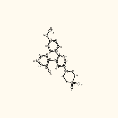 O=S1(=O)CCN(c2cnc(-c3ccc(OC(F)(F)F)cc3)c(-c3ccncc3Cl)n2)CC1